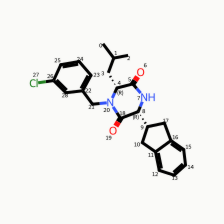 CC(C)C[C@@H]1C(=O)N[C@H](C2Cc3ccccc3C2)C(=O)N1Cc1cccc(Cl)c1